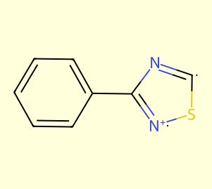 [C]1=NC(c2ccccc2)=[N+]S1